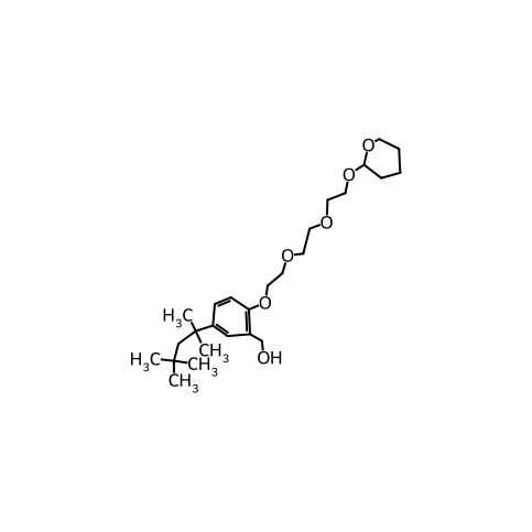 CC(C)(C)CC(C)(C)c1ccc(OCCOCCOCCOC2CCCCO2)c(CO)c1